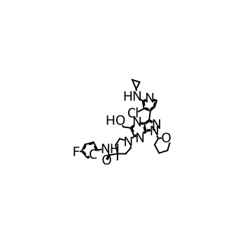 CC1(C(=O)Nc2ccc(F)cc2)CCN(c2nc3c(nc2CO)c(-c2ccnc(NC4CC4)c2Cl)nn3C2CCCCO2)CC1